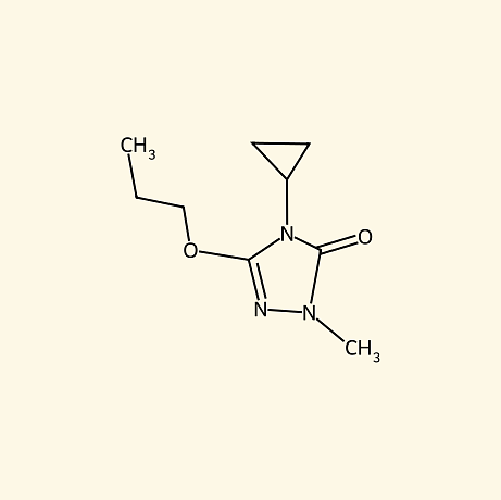 CCCOc1nn(C)c(=O)n1C1CC1